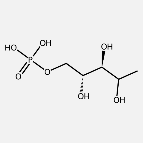 CC(O)[C@H](O)[C@H](O)COP(=O)(O)O